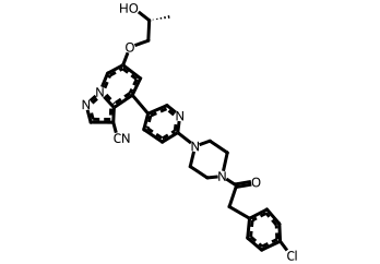 C[C@@H](O)COc1cc(-c2ccc(N3CCN(C(=O)Cc4ccc(Cl)cc4)CC3)nc2)c2c(C#N)cnn2c1